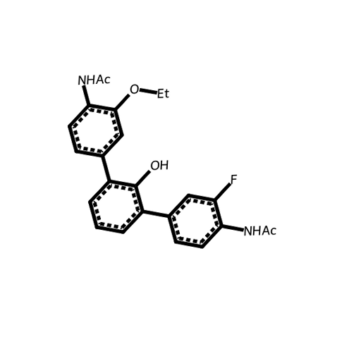 CCOc1cc(-c2cccc(-c3ccc(NC(C)=O)c(F)c3)c2O)ccc1NC(C)=O